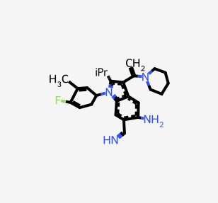 C=C(c1c(C(C)C)n(C2C=C(C)C(F)=CC2)c2cc(C=N)c(N)cc12)N1CCCCC1